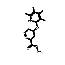 CC1=C(C)C(C)=C(C)C(OC2CN=PC(C(=O)OP)C2)N1